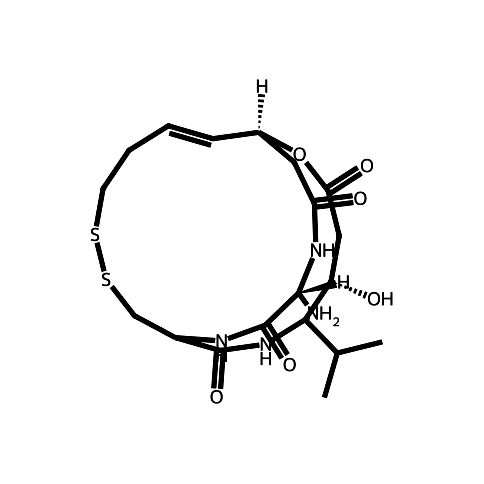 CC(C)C1NC(=O)C2CSSCC/C=C/[C@H](CC(=O)N[C@H](N)C(=O)N2)OC(=O)C[C@@H]1O